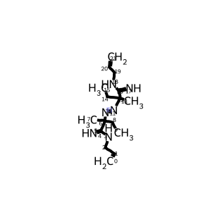 C=CCNC(=N)C(C)(CC)/N=N/C(C)(CC)C(=N)NCC=C